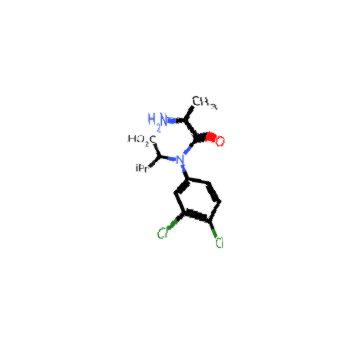 CC(N)C(=O)N(c1ccc(Cl)c(Cl)c1)C(C(=O)O)C(C)C